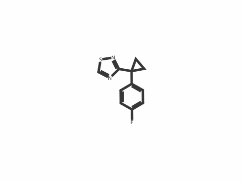 Fc1ccc(C2(c3ncsn3)CC2)cc1